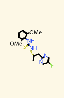 COc1cccc(OC)c1NC(=S)NSC(C)Cc1ncc(F)cn1